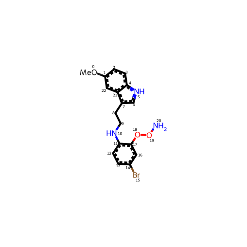 COc1ccc2[nH]cc(CCNc3ccc(Br)cc3OON)c2c1